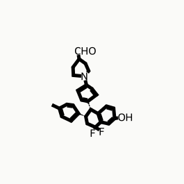 Cc1ccc([C@H]2CC(F)(F)c3cc(O)ccc3[C@H]2c2ccc(N3CCC(C=O)CC3)cc2)cc1